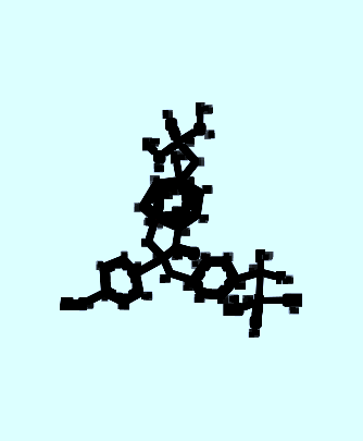 CSc1ccc(C(Cc2ccc(CP(=O)(OF)OF)cc2)(Cc2ccc(C(F)(F)P(=O)(O)O)cc2)C(=O)c2ccc(F)cc2)cc1